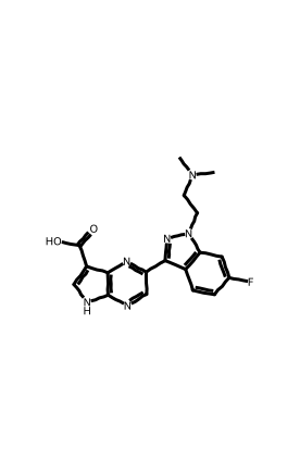 CN(C)CCn1nc(-c2cnc3[nH]cc(C(=O)O)c3n2)c2ccc(F)cc21